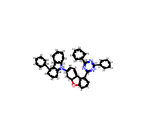 C1=C2c3c(cccc3-c3nc(-c4ccccc4)nc(-c4ccccc4)n3)OC2CC(n2c3ccccc3c3c(-c4ccccc4)cccc32)=C1